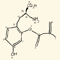 C=C(C)C(=O)Oc1cc(O)ccc1C[C@H](N)C(=O)O